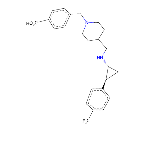 O=C(O)c1ccc(CN2CCC(CN[C@@H]3C[C@H]3c3ccc(C(F)(F)F)cc3)CC2)cc1